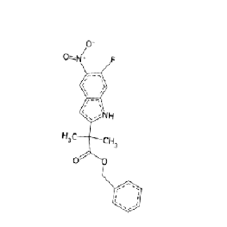 CC(C)(C(=O)OCc1ccccc1)c1cc2cc([N+](=O)[O-])c(F)cc2[nH]1